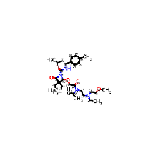 CCC[C@@H](NC(=O)N1C(=O)C(CC)(CC)[C@@H]1OCC(=O)N(CCN(CC)CCOC)C(C)C)c1ccc(C)cc1